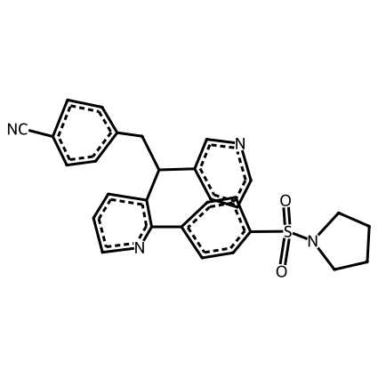 N#Cc1ccc(CC(c2cccnc2)c2cccnc2-c2ccc(S(=O)(=O)N3CCCC3)cc2)cc1